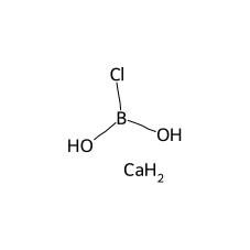 OB(O)Cl.[CaH2]